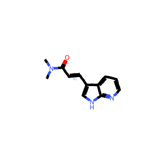 CN(C)C(=O)/C=C/c1c[nH]c2ncccc12